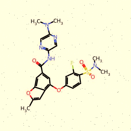 Cc1cc2c(Oc3ccc(S(=O)(=O)N(C)C)c(F)c3)cc(C(=O)Nc3cnc(N(C)C)cn3)cc2o1